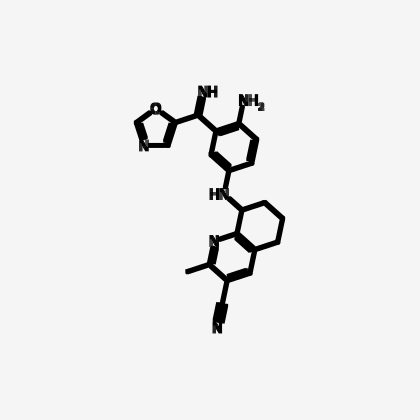 Cc1nc2c(cc1C#N)CCCC2Nc1ccc(N)c(C(=N)c2cnco2)c1